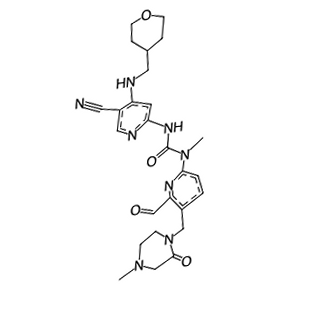 CN1CCN(Cc2ccc(N(C)C(=O)Nc3cc(NCC4CCOCC4)c(C#N)cn3)nc2C=O)C(=O)C1